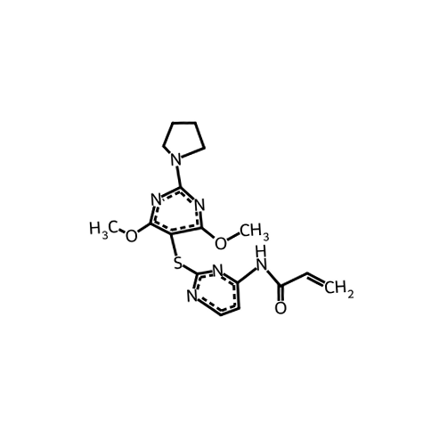 C=CC(=O)Nc1ccnc(Sc2c(OC)nc(N3CCCC3)nc2OC)n1